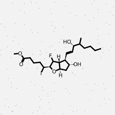 CCCCC(C)[C@@H](O)/C=C/[C@@H]1[C@H]2C(F)[C@H](C(I)CCCC(=O)OC)O[C@@H]2C[C@H]1O